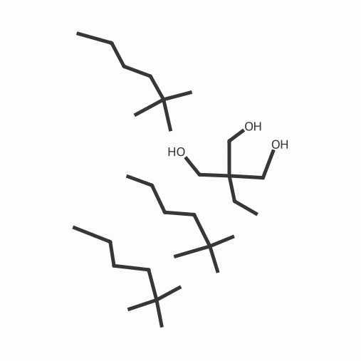 CCC(CO)(CO)CO.CCCCC(C)(C)C.CCCCC(C)(C)C.CCCCC(C)(C)C